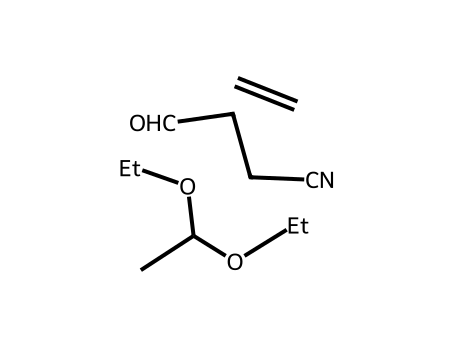 C=C.CCOC(C)OCC.N#CCCC=O